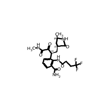 CNC(=O)C(=O)[C@@H](C[C@H]1C[C@@H](C)NC1=O)c1cccc(C(N)=O)c1NC(=O)CCC(F)(F)F